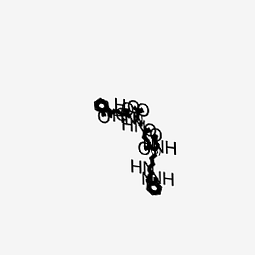 O=C(CN1C(=O)N[C@@H](CCCNc2nc3ccccc3[nH]2)C1=O)NC[C@H](NC(=O)OCc1coc2ccccc12)C(=O)O